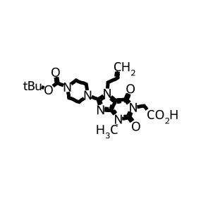 C=CCn1c(N2CCN(C(=O)OC(C)(C)C)CC2)nc2c1c(=O)n(CC(=O)O)c(=O)n2C